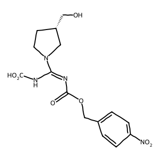 O=C(O)N/C(=N\C(=O)OCc1ccc([N+](=O)[O-])cc1)N1CC[C@H](CO)C1